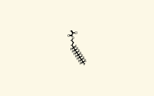 C=C(Cl)C(=O)OCCCC(F)(F)C(F)(F)C(F)(F)C(F)(F)C(F)(F)C(F)(F)C(F)(F)F